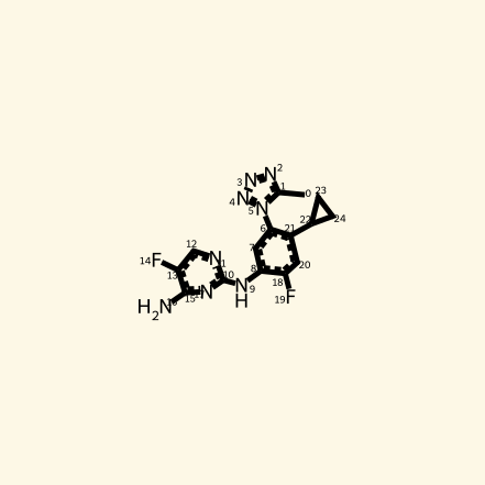 Cc1nnnn1-c1cc(Nc2ncc(F)c(N)n2)c(F)cc1C1CC1